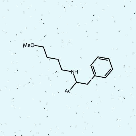 COCCCCNC(Cc1ccccc1)C(C)=O